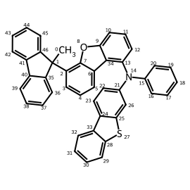 CC1(c2cccc3c2oc2cccc(N(c4ccccc4)c4ccc5c(c4)sc4ccccc45)c23)c2ccccc2-c2ccccc21